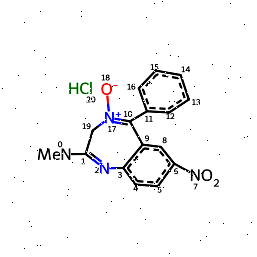 CNC1=Nc2ccc([N+](=O)[O-])cc2C(c2ccccc2)=[N+]([O-])C1.Cl